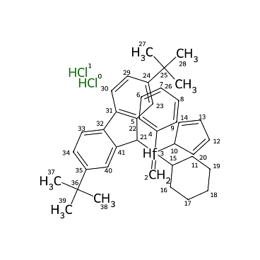 Cl.Cl.[CH2]=[Hf]([c]1ccccc1)([CH]1C=CC=C1)([CH]1CCCCC1)[CH]1c2cc(C(C)(C)C)ccc2-c2ccc(C(C)(C)C)cc21